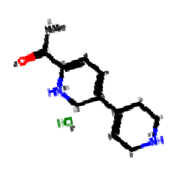 CNC(=O)C1=CC=C(C2=CCNCC2)CN1.Cl